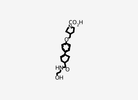 O=C(NCCO)C1CC=C(c2ccc(OCC3CCN(C(=O)O)CC3)cc2)CC1